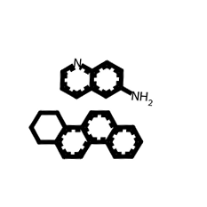 Nc1ccc2ncccc2c1.c1ccc2c(c1)ccc1c3c(ccc12)CCCC3